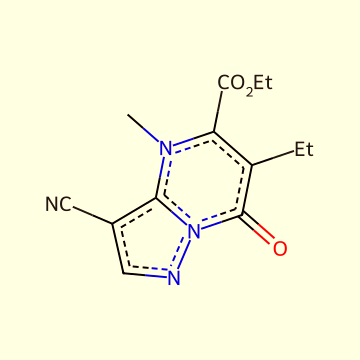 CCOC(=O)c1c(CC)c(=O)n2ncc(C#N)c2n1C